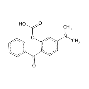 CN(C)c1ccc(C(=O)c2ccccc2)c(OC(=O)O)c1